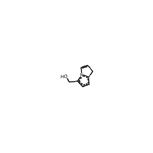 OCc1ccc2n1C=CC2